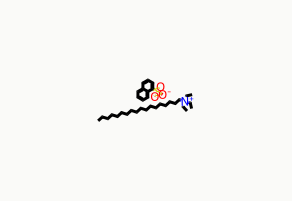 CCCCCCCCCCCCCCCCCC[N+](CC)(CC)CC.O=S(=O)([O-])c1cccc2ccccc12